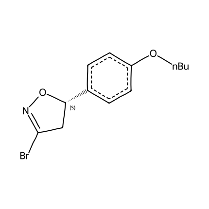 CCCCOc1ccc([C@@H]2CC(Br)=NO2)cc1